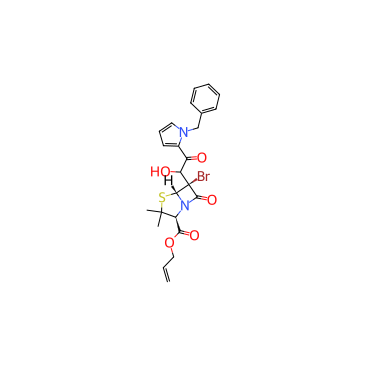 C=CCOC(=O)[C@@H]1N2C(=O)[C@@](Br)(C(O)C(=O)c3cccn3Cc3ccccc3)[C@H]2SC1(C)C